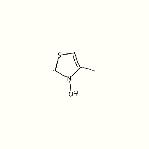 CC1=CS[CH]N1O